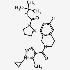 Cc1c(C(=O)N2CCc3cc(Cl)cc([C@@H]4CCCN4C(=O)OC(C)(C)C)c3C2)cnn1C1CC1